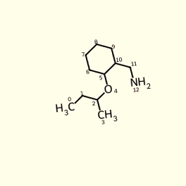 CCC(C)OC1CCCCC1CN